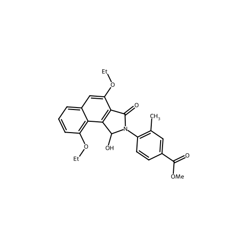 CCOc1cc2cccc(OCC)c2c2c1C(=O)N(c1ccc(C(=O)OC)cc1C)C2O